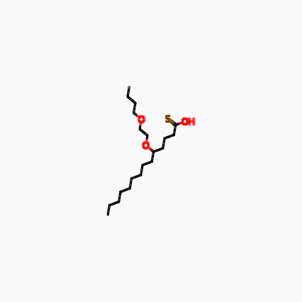 CCCCCCCCCC(CCCC(O)=S)OCCOCCCC